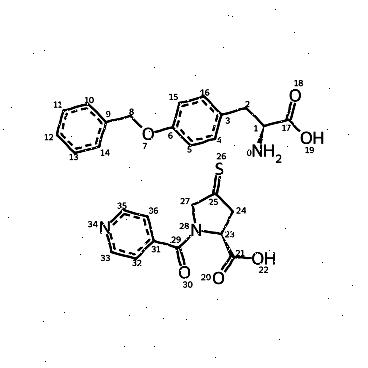 N[C@@H](Cc1ccc(OCc2ccccc2)cc1)C(=O)O.O=C(O)[C@@H]1CC(=S)CN1C(=O)c1ccncc1